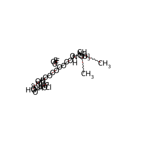 CCCCCCCCCCCCOCC(C[N+](C)(C)CCCNC(=O)CCOCCOCCOCCOCCOCCOCCOCCOCCOCCC(=O)NCCC1(C(=O)N[C@@H](Cc2ccc(NC(=O)c3c(Cl)cccc3Cl)cc2)C(=O)O)CCCC1)OCCCCCCCCCCCC.O=C([O-])C(F)(F)F